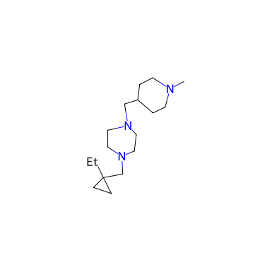 CCC1(CN2CCN(CC3CCN(C)CC3)CC2)CC1